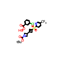 CC(C)(C)OC(=O)N1CC(C23CC(S(=O)(=O)c4ccc(C(F)(F)F)cn4)(C2)C3)C1.O=C(OO)c1cccc(Cl)c1